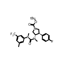 Cc1cc(N(C)C(=O)N(C)[C@@H]2CN(C(=O)OC(C)(C)C)C[C@H]2c2ccc(F)cc2)cc(C(F)(F)F)c1